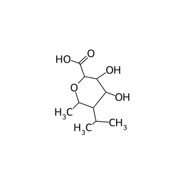 CC(C)C1C(C)OC(C(=O)O)C(O)C1O